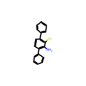 Nc1c(-c2ccccc2)ccc(-c2ccccc2)c1S